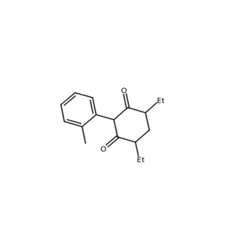 CCC1CC(CC)C(=O)C(c2ccccc2C)C1=O